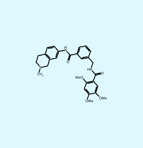 COc1cc(OC)c(C(=O)NCc2cccc(C(=O)Nc3ccc4c(c3)CN(C)CC4)c2)cc1OC